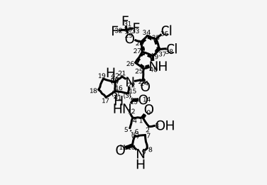 O=C(CO)C(C[C@@H]1CCNC1=O)NC(=O)[C@@H]1[C@H]2CCC[C@H]2CN1C(=O)c1cc2c(OC(F)(F)F)cc(Cl)c(Cl)c2[nH]1